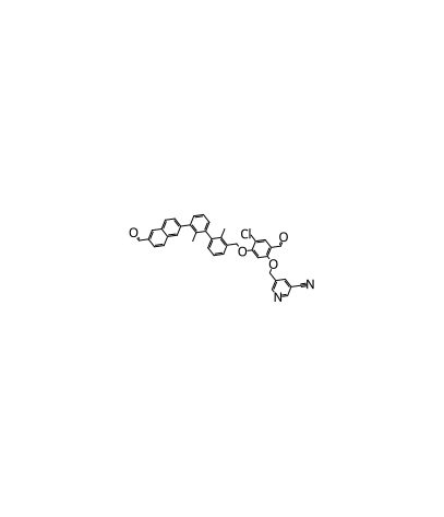 Cc1c(COc2cc(OCc3cncc(C#N)c3)c(C=O)cc2Cl)cccc1-c1cccc(-c2ccc3cc(C=O)ccc3c2)c1C